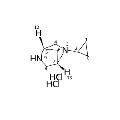 C1CC1N1C[C@@H]2C[C@H]1CN2.Cl.Cl